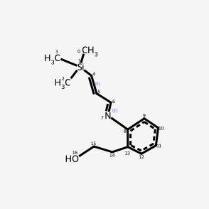 C[Si](C)(C)/C=C/C=N/c1ccccc1CCO